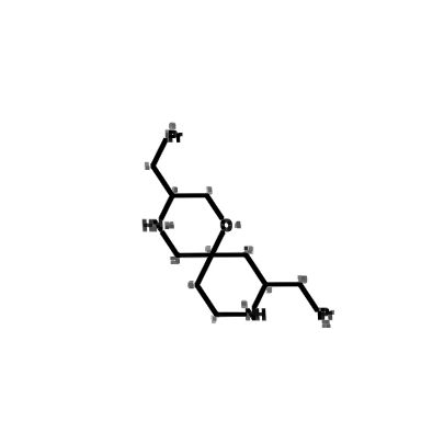 CC(C)CC1COC2(CCNC(CC(C)C)C2)CN1